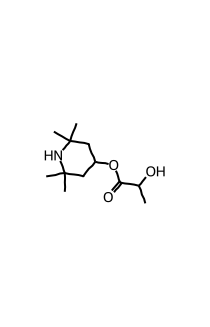 CC(O)C(=O)OC1CC(C)(C)NC(C)(C)C1